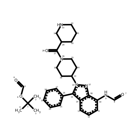 CC(C)(C)OC=O.O=CNc1cccc2c(-c3ccccc3)n(C3CCN(C(=O)C4CCCNC4)CC3)nc12